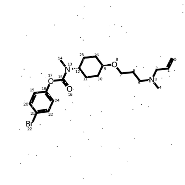 C=CCN(C)CCCO[C@H]1CC[C@H](N(C)C(=O)Oc2ccc(Br)cc2)CC1